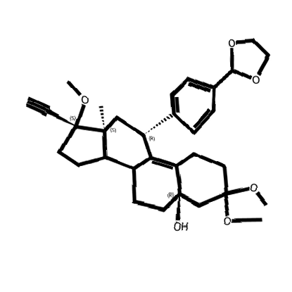 C#C[C@]1(OC)CCC2C3CC[C@@]4(O)CC(OC)(OC)CCC4=C3[C@@H](c3ccc(C4OCCO4)cc3)C[C@@]21C